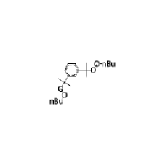 CCCCOOC(C)(C)c1cccc(C(C)(C)OOCCCC)c1